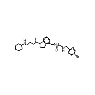 O=C(CNCc1ccc(Br)cn1)NCc1cccc2c1CCC2NCCCNC1CCCCC1